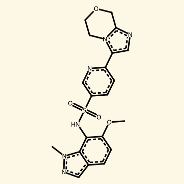 COc1ccc2cnn(C)c2c1NS(=O)(=O)c1ccc(-c2cnc3n2CCOC3)nc1